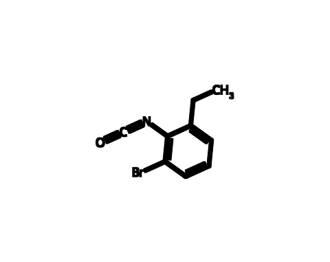 CCc1cccc(Br)c1N=C=O